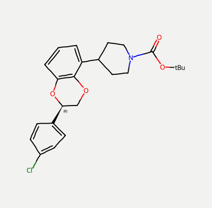 CC(C)(C)OC(=O)N1CCC(c2cccc3c2OC[C@@H](c2ccc(Cl)cc2)O3)CC1